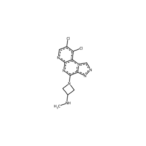 CNC1CN(c2nc3ncc(Cl)c(Cl)c3n3cnnc23)C1